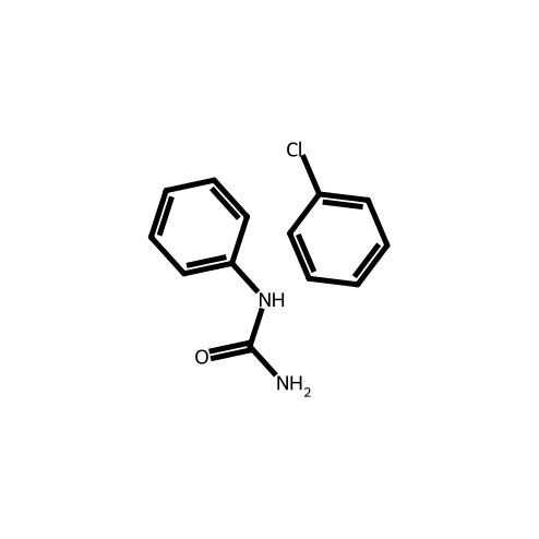 Clc1ccccc1.NC(=O)Nc1ccccc1